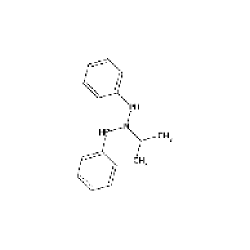 CC(C)N(Pc1ccccc1)Pc1ccccc1